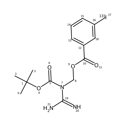 CC(C)(C)OC(=O)N(COC(=O)c1cccc([131I])c1)C(=N)N